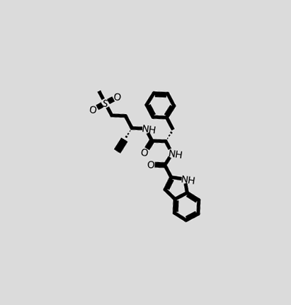 C#C[C@H](CCS(C)(=O)=O)NC(=O)[C@H](Cc1ccccc1)NC(=O)c1cc2ccccc2[nH]1